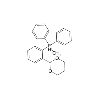 C[PH](c1ccccc1)(c1ccccc1)c1ccccc1C1OCCCO1